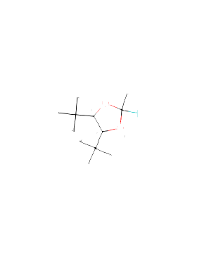 CC1(F)OC(C(C)(C)C)C(C(C)(C)C)O1